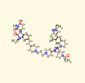 CC(=O)N1CCc2c(c(N3CCCc4cc(-c5cnn(C)c5)c(C(F)F)cc43)nn2C2CCN(CCCN3CCC(CCc4ccc5c(c4)n(C)c(=O)n5C4CCC(=O)NC4=O)CC3)CC2)C1